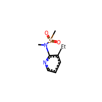 CCc1cccnc1N(C)S(C)(=O)=O